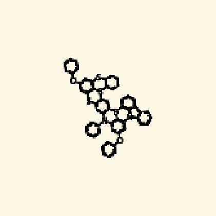 c1ccc(Oc2cc3c4c(c2)Sc2cc5c(cc2B4c2ccccc2S3)B2c3c(cc(Oc4ccccc4)cc3-n3c4ccccc4c4cccc2c43)N5c2ccccc2)cc1